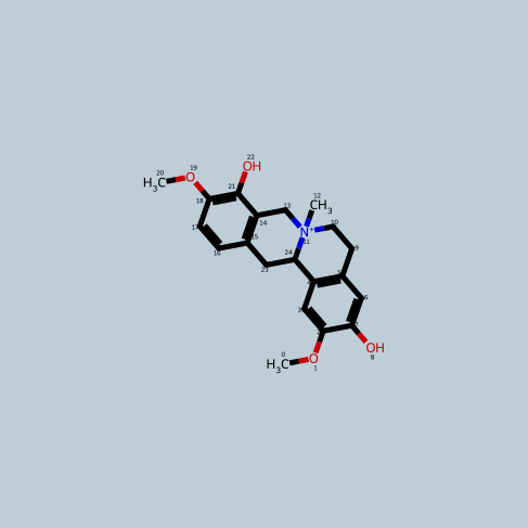 COc1cc2c(cc1O)CC[N+]1(C)Cc3c(ccc(OC)c3O)CC21